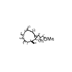 C=C1C[C@@H](C)N(C)C(C)CC(C)CN(CC(O)COC)C1